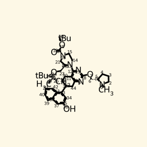 CN1CCC[C@H]1COc1nc2c(c(N3CCN(C(=O)OC(C)(C)C)C[C@@H]3CO[Si](C)(C)C(C)(C)C)n1)CCC(c1cc(O)cc3ccccc13)C2